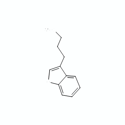 [CH2]OCCCc1coc2ccccc12